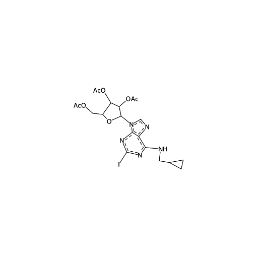 CC(=O)OCC1OC(n2cnc3c(NCC4CC4)nc(I)nc32)C(OC(C)=O)C1OC(C)=O